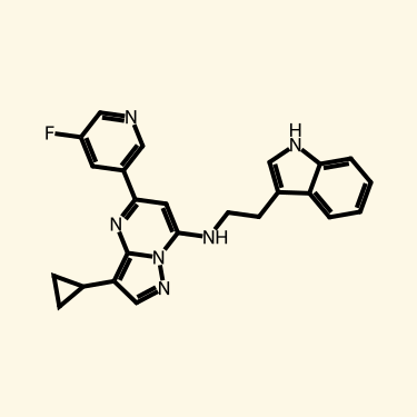 Fc1cncc(-c2cc(NCCc3c[nH]c4ccccc34)n3ncc(C4CC4)c3n2)c1